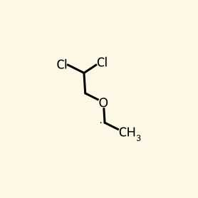 C[CH]OCC(Cl)Cl